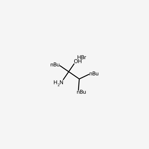 Br.CCCCC(CCCC)C(N)(O)CCCC